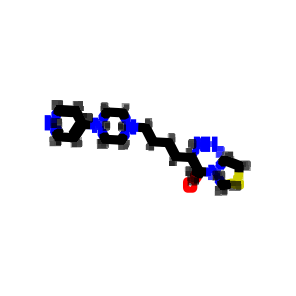 N[C@@H](CCCCN1CCN(c2ccncc2)CC1)C(=O)N1CCSC1